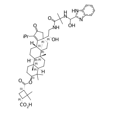 CC(C)C1=C2[C@H]3CC[C@@H]4[C@@]5(C)CC[C@H](OC(=O)[C@H]6C[C@@H](C(=O)O)C6(C)C)C(C)(C)[C@@H]5CC[C@@]4(C)[C@]3(C)CC[C@@]2([C@@H](O)CNC(=O)C(C)(C)NC(O)c2nc3ccccc3[nH]2)CC1=O